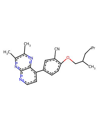 Cc1nc2nccc(-c3ccc(OCC(C)CC(C)C)c(C#N)c3)c2nc1C